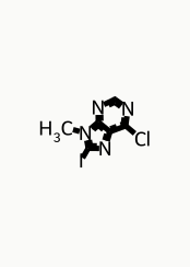 Cn1c(I)nc2c(Cl)ncnc21